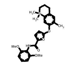 COc1cccc(OC)c1NC(=O)c1ccc(Oc2cc3c(cc2C)CCC[Si]3(C)C)o1